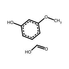 COc1cccc(O)c1.O=CO